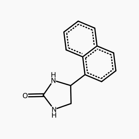 O=C1NCC(c2cccc3ccccc23)N1